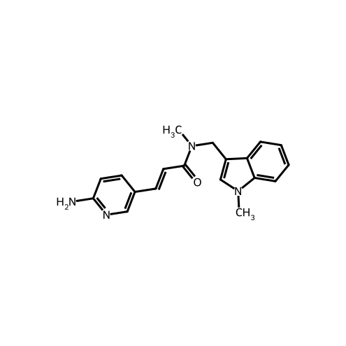 CN(Cc1cn(C)c2ccccc12)C(=O)/C=C/c1ccc(N)nc1